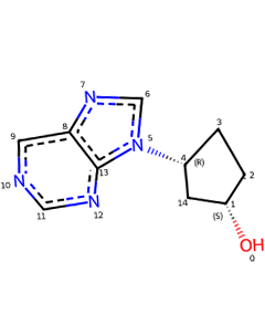 O[C@H]1[CH]C[C@@H](n2cnc3cncnc32)C1